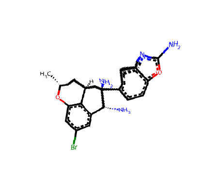 C[C@@H]1C[C@@H]2c3c(cc(Br)cc3[C@@H](N)[C@@]2(N)c2ccc3oc(N)nc3c2)O1